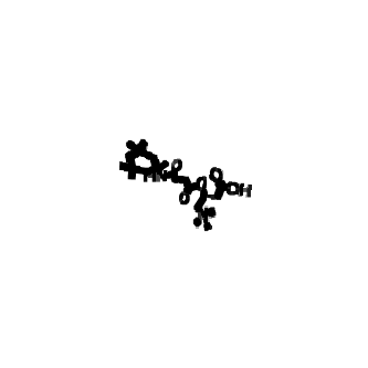 CC1(C)CC(C)(C)CC(C)(NC(=O)CCC(=O)O[C@H](CC(=O)O)C[N+](C)(C)C)C1